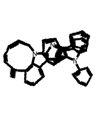 C=C1/C=C\C=C/CN(c2ccc(-c3ccccc3)cc2)c2c1cccc2-c1cnc2c3ccccc3n(-c3ccccc3)c2c1